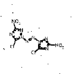 O=[N+]([O-])c1nc(Cl)n(N=Nn2nc([N+](=O)[O-])nc2Cl)n1